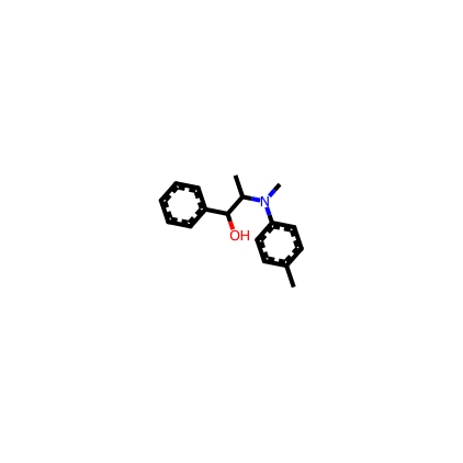 Cc1ccc(N(C)C(C)C(O)c2ccccc2)cc1